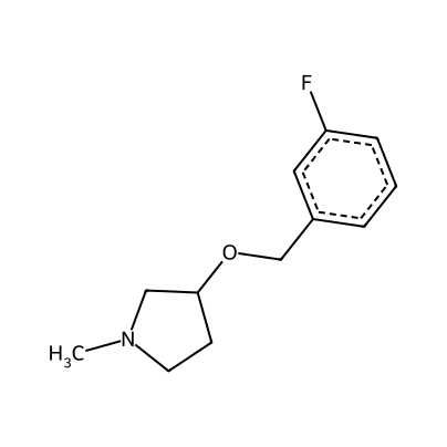 CN1CCC(OCc2cccc(F)c2)C1